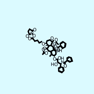 CC(=O)OC1C(=O)[C@@]2(C)C([C@]3(OC(C)=O)COC3C[C@@H]2OCCCCC(=O)ON2C(=O)CCC2=O)[C@@]2(OC(=O)c3ccccc3)[C@]3(O)C[C@H](OC(=O)[C@H](O)[C@@H](NC(=O)c4ccccc4)c4ccccc4)C(C)=C1[C@@]32C